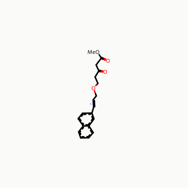 COC(=O)CC(=O)CCOC/C=C/c1ccc2ccccc2c1